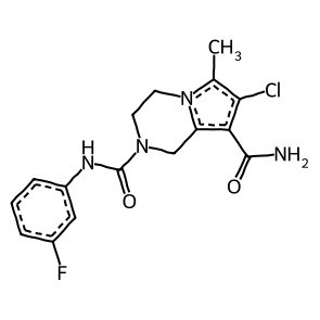 Cc1c(Cl)c(C(N)=O)c2n1CCN(C(=O)Nc1cccc(F)c1)C2